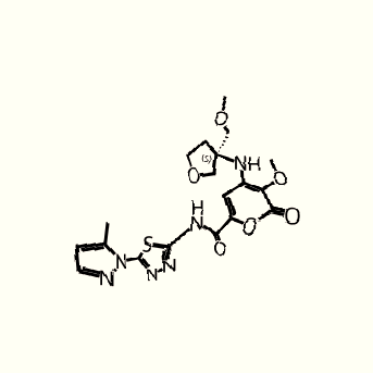 COC[C@@]1(Nc2cc(C(=O)Nc3nnc(-n4nccc4C)s3)oc(=O)c2OC)CCOC1